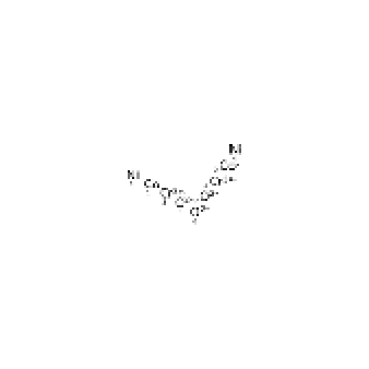 [Co].[Co].[Cr+3].[Cr+3].[Ni].[Ni].[O-2].[O-2].[O-2]